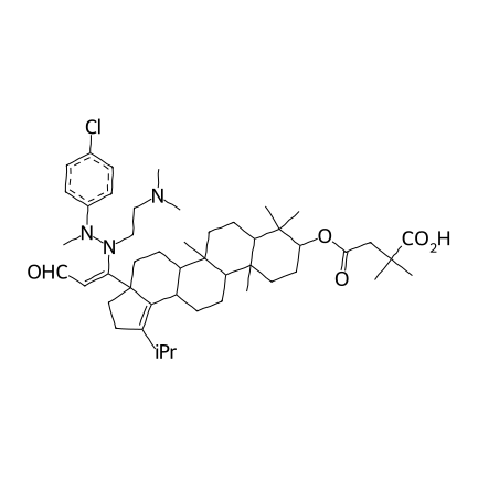 CC(C)C1=C2C3CCC4C(C)(CCC5C(C)(C)C(OC(=O)CC(C)(C)C(=O)O)CCC54C)C3CCC2(/C(=C/C=O)N(CCN(C)C)N(C)c2ccc(Cl)cc2)CC1